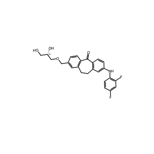 O=C1c2ccc(COC[C@@H](O)CO)cc2CCc2cc(Nc3ccc(F)cc3F)ccc21